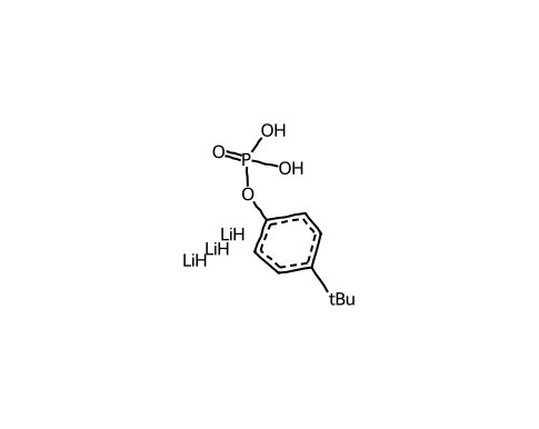 CC(C)(C)c1ccc(OP(=O)(O)O)cc1.[LiH].[LiH].[LiH]